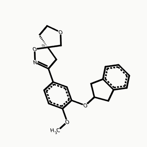 COc1ccc(C2=NO[C@]3(CCOC3)C2)cc1OC1Cc2ccccc2C1